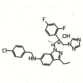 CCc1nn([C@H](C)[C@](O)(Cn2cncn2)c2ccc(F)cc2F)c2cc(NCc3ccc(Cl)cc3)ccc12